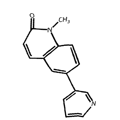 Cn1c(=O)ccc2cc(-c3cccnc3)ccc21